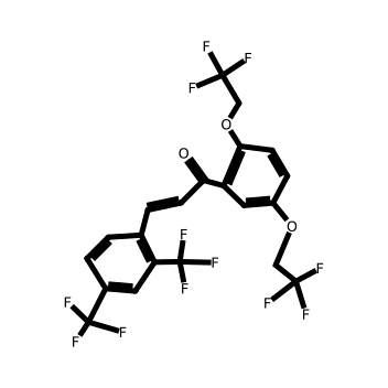 O=C(C=Cc1ccc(C(F)(F)F)cc1C(F)(F)F)c1cc(OCC(F)(F)F)ccc1OCC(F)(F)F